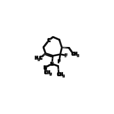 C=NN(CC)/C1=C(\C)CCCCC(CC)C1(F)F